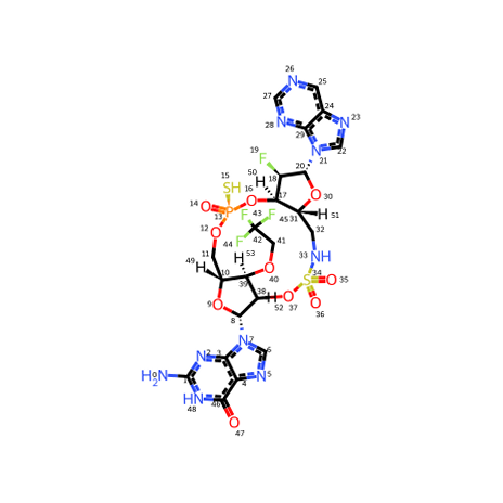 Nc1nc2c(ncn2[C@@H]2O[C@@H]3CO[P@@](=O)(S)O[C@H]4[C@@H](F)[C@H](n5cnc6cncnc65)O[C@@H]4CNS(=O)(=O)O[C@@H]2[C@@H]3OCC(F)(F)F)c(=O)[nH]1